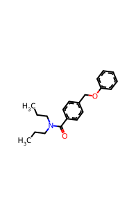 CCCN(CCC)C(=O)c1ccc(COc2ccccc2)cc1